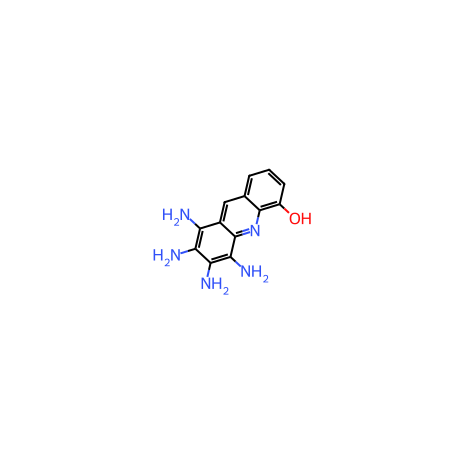 Nc1c(N)c(N)c2nc3c(O)cccc3cc2c1N